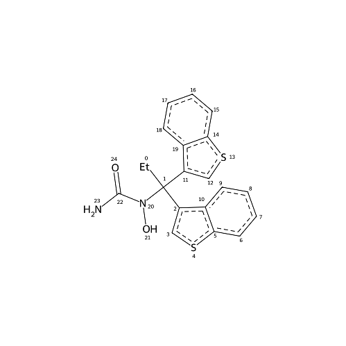 CCC(c1csc2ccccc12)(c1csc2ccccc12)N(O)C(N)=O